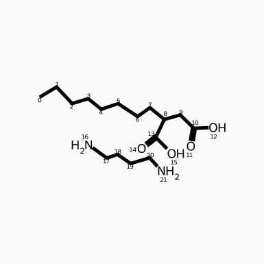 CCCCCCCCC(CC(=O)O)C(=O)O.NCCCCN